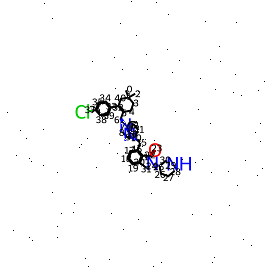 CC1(C)CCC(CN2CC3CCC2CN3Cc2cccc3c2C(=O)N(C2CCCNC2)C3)=C(c2ccc(Cl)cc2)C1